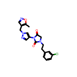 Cc1oncc1Cn1cc(N2C(=O)CN(CCc3cccc(Cl)c3)C2=O)cn1